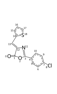 O=C1OC(c2ccc(Cl)cc2)=NC1=Cc1cccs1